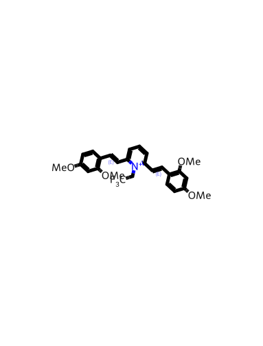 COc1ccc(/C=C/c2cccc(/C=C/c3ccc(OC)cc3OC)[n+]2CC(F)(F)F)c(OC)c1